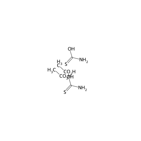 CC(=O)O.CC(=O)O.NC(O)=S.NC(O)=S